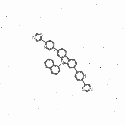 c1ccc2c(-n3c4cc(-c5ccc(-c6cncs6)nc5)ccc4c4ccc(-c5ccc(-c6cncs6)nc5)cc43)cccc2c1